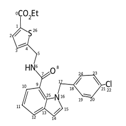 CCOC(=O)c1ccc(CNC(=O)c2cccc3ccn(Cc4ccc(Cl)cc4)c23)s1